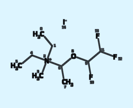 CC[N+](C)(CC)C(C)OC(F)C(F)F.[I-]